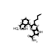 CCCCc1nc2[nH]cc(C(N)=O)c2nc1-c1cccc2cn[nH]c12.Cl